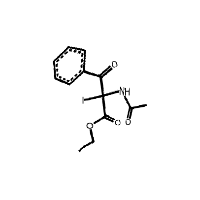 CCOC(=O)C(I)(NC(C)=O)C(=O)c1ccccc1